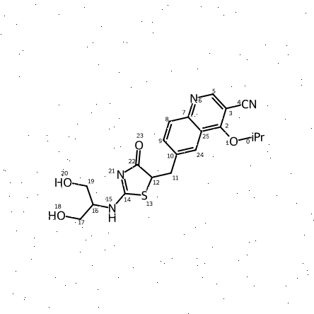 CC(C)Oc1c(C#N)cnc2ccc(CC3SC(NC(CO)CO)=NC3=O)cc12